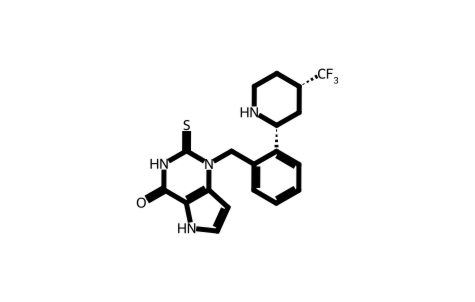 O=c1[nH]c(=S)n(Cc2ccccc2[C@H]2C[C@@H](C(F)(F)F)CCN2)c2cc[nH]c12